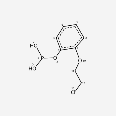 OP(O)Oc1ccccc1OCCCl